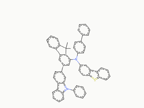 CC1(C)c2ccccc2-c2cc(-c3ccc4c5ccccc5n(-c5ccccc5)c4c3)cc(N(c3ccc(-c4ccccc4)cc3)c3ccc4sc5ccccc5c4c3)c21